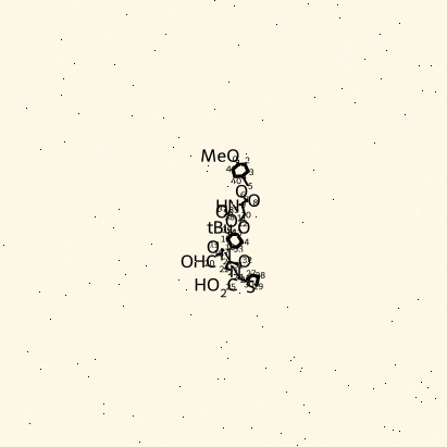 COc1ccc(COC(=O)C(CCOc2ccc(N(C(=O)C=O)C3CN(C(C(=O)O)c4cccs4)C3=O)cc2)NC(=O)OC(C)(C)C)cc1